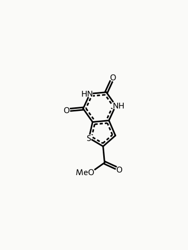 COC(=O)c1cc2[nH]c(=O)[nH]c(=O)c2s1